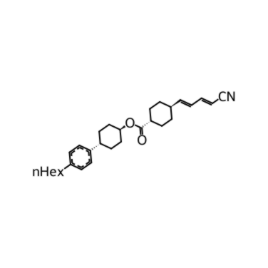 CCCCCCc1ccc([C@H]2CC[C@H](OC(=O)[C@H]3CC[C@H](C=CC=CC#N)CC3)CC2)cc1